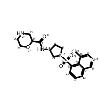 O=C(N[C@H]1CCN(S(=O)(=O)c2cccc3cncc(Cl)c23)C1)C1CNCCO1